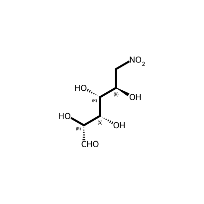 O=C[C@H](O)[C@@H](O)[C@H](O)[C@H](O)C[N+](=O)[O-]